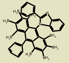 Bc1c(B)c(B)c2c(-n3c(-c4ccccc4)nc4ccccc43)c3c(B)c(B)c(B)c(B)c3c(-c3ccccc3)c2c1B